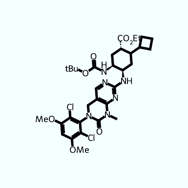 CCOC(=O)[C@H]1C[C@H](NC(=O)OC(C)(C)C)[C@H](Nc2ncc3c(n2)N(C)C(=O)N(c2c(Cl)c(OC)cc(OC)c2Cl)C3)CC1C1CCC1